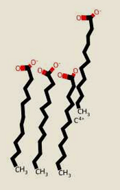 CCCCCCCCCCCC(=O)[O-].CCCCCCCCCCCC(=O)[O-].CCCCCCCCCCCC(=O)[O-].CCCCCCCCCCCC(=O)[O-].[C+4]